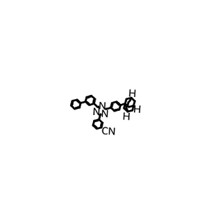 N#Cc1cccc(-c2nc(-c3ccc(C45C[C@H]6C[C@@H](C4)C[C@@H](C5)C6)cc3)nc(-c3cccc(-c4ccccc4)c3)n2)c1